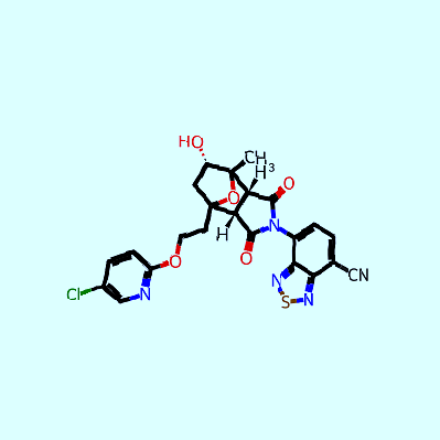 CC12OC(CCOc3ccc(Cl)cn3)(C[C@@H]1O)[C@H]1C(=O)N(c3ccc(C#N)c4nsnc34)C(=O)[C@H]12